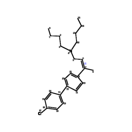 CCCCN(C/C=C(/C)c1ccc(-c2ccc(Cl)cc2)cc1)CCCC